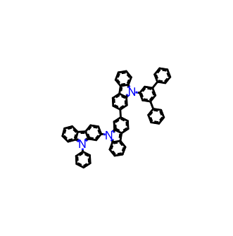 c1ccc(-c2cc(-c3ccccc3)cc(-n3c4ccccc4c4ccc(-c5ccc6c7ccccc7n(-c7ccc8c9ccccc9n(-c9ccccc9)c8c7)c6c5)cc43)c2)cc1